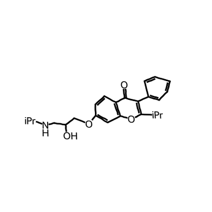 CC(C)NCC(O)COc1ccc2c(=O)c(-c3ccccc3)c(C(C)C)oc2c1